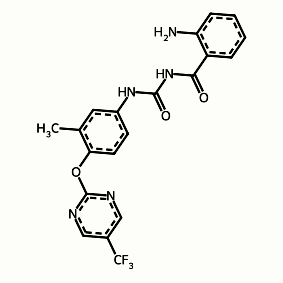 Cc1cc(NC(=O)NC(=O)c2ccccc2N)ccc1Oc1ncc(C(F)(F)F)cn1